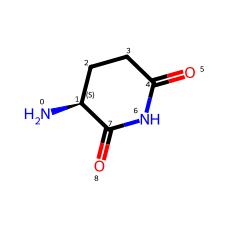 N[C@H]1CCC(=O)NC1=O